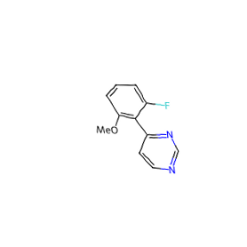 COc1cccc(F)c1-c1ccncn1